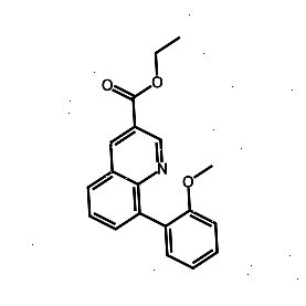 CCOC(=O)c1cnc2c(-c3ccccc3OC)cccc2c1